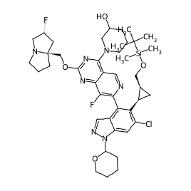 CC(C)(C)[Si](C)(C)OC[C@H]1C[C@H]1c1c(Cl)cc2c(cnn2C2CCCCO2)c1-c1ncc2c(N3CCCC(O)C3)nc(OC[C@@]34CCCN3C[C@H](F)C4)nc2c1F